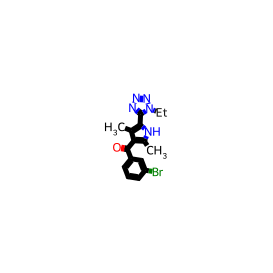 CCn1nnnc1-c1[nH]c(C)c(C(=O)c2cccc(Br)c2)c1C